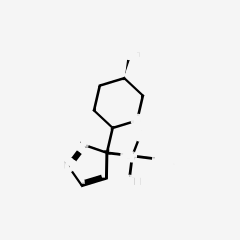 CC(C)[C@@H]1CCC([C]2([Sn]([CH3])([CH3])[CH3])C=CN=N2)OC1